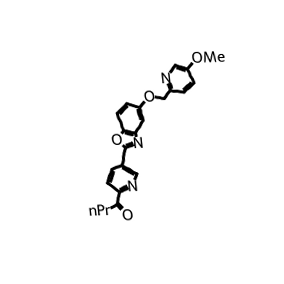 CCCC(=O)c1ccc(-c2nc3cc(OCc4ccc(OC)cn4)ccc3o2)cn1